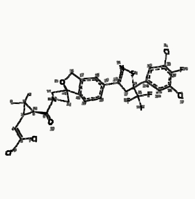 CC1(C)C(C=C(Cl)Cl)[C@@H]1C(=O)N1CC2(C1)OCc1cc(C3=NSC(c4cc(Cl)c(F)c(Cl)c4)(C(F)(F)F)C3)ccc12